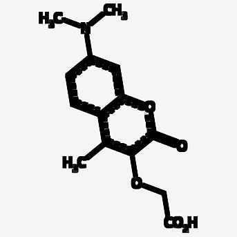 Cc1c(OCC(=O)O)c(=O)oc2cc(N(C)C)ccc12